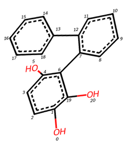 Oc1ccc(O)c(-c2ccccc2-c2ccccc2)c1O